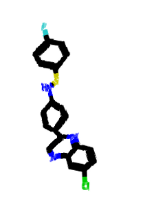 Fc1ccc(SNc2ccc(-c3cnc4cc(Cl)ccc4n3)cc2)cc1